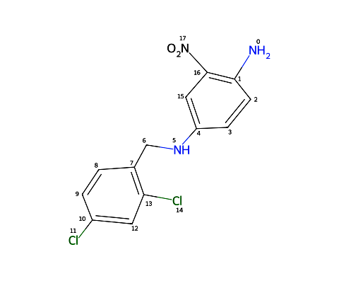 Nc1ccc(NCc2ccc(Cl)cc2Cl)cc1[N+](=O)[O-]